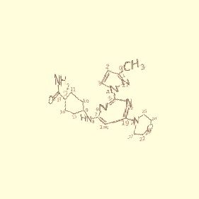 Cc1ccn(-c2nc(NC3CCC(C(N)=O)CC3)cc(N3CCOCC3)n2)n1